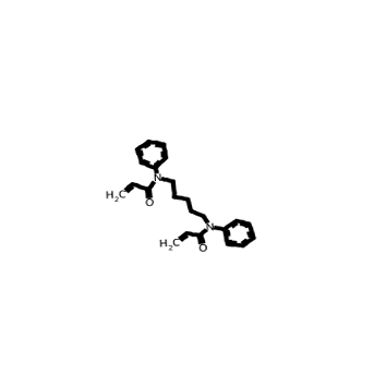 C=CC(=O)N(CCCCCN(C(=O)C=C)c1ccccc1)c1ccccc1